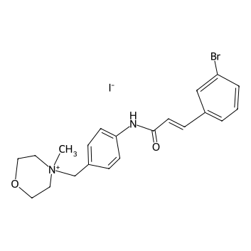 C[N+]1(Cc2ccc(NC(=O)C=Cc3cccc(Br)c3)cc2)CCOCC1.[I-]